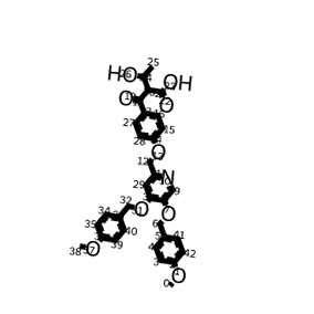 COc1ccc(COc2cnc(COc3ccc(C(=O)C(C(=O)O)C(C)O)cc3)cc2OCc2ccc(OC)cc2)cc1